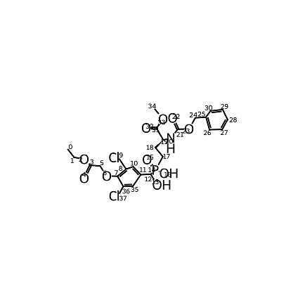 CCOC(=O)COc1c(Cl)cc(C(O)P(=O)(O)CC[C@H](NC(=O)OCc2ccccc2)C(=O)OC)cc1Cl